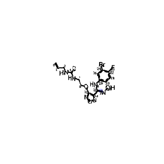 C=CCNC(=O)NCCOc1nonc1/C(=N/O)Nc1ccc(F)c(Br)c1